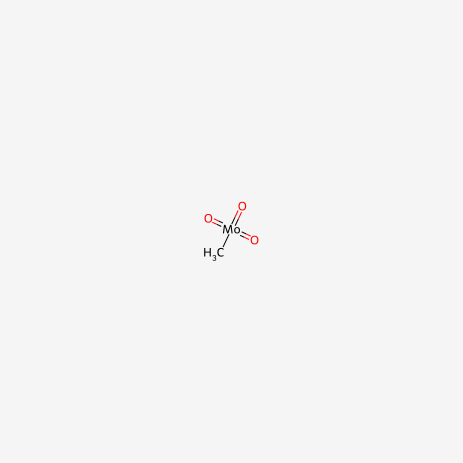 [CH3][Mo](=[O])(=[O])=[O]